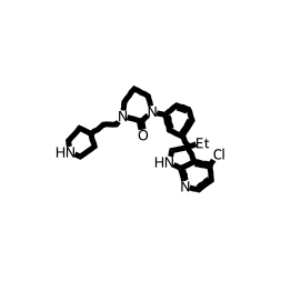 CCC1(c2cccc(N3CCCN(CCC4CCNCC4)C3=O)c2)CNc2nccc(Cl)c21